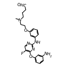 CN(CCCC=O)CCOc1cccc(Nc2ncc(F)c(Oc3cccc(N)c3)n2)c1